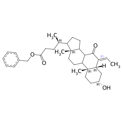 C/C=C1/C(=O)C2C3CCC([C@H](C)CCC(=O)OCc4ccccc4)[C@@]3(C)CCC2[C@@]2(C)CC[C@@H](O)C[C@@H]12